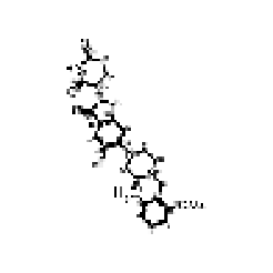 COc1cccc(C)c1CN1CCN(c2cc3c(cc2F)C(=O)N(C2CCC(=O)NC2=O)C3)CC1